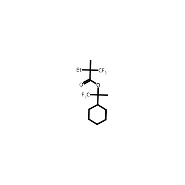 CCC(C)(C(=O)OC(C)(C1CCCCC1)C(F)(F)F)C(F)(F)F